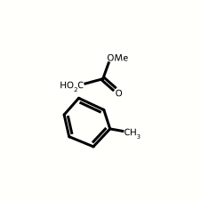 COC(=O)C(=O)O.Cc1ccccc1